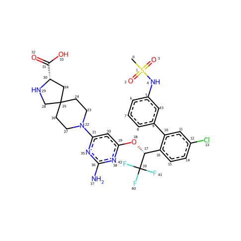 CS(=O)(=O)Nc1cccc(-c2cc(Cl)ccc2[C@@H](Oc2cc(N3CCC4(CC3)CN[C@H](C(=O)O)C4)nc(N)n2)C(F)(F)F)c1